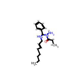 CCCCCC=CCNC(c1ccccc1)N(N)C(=O)CC